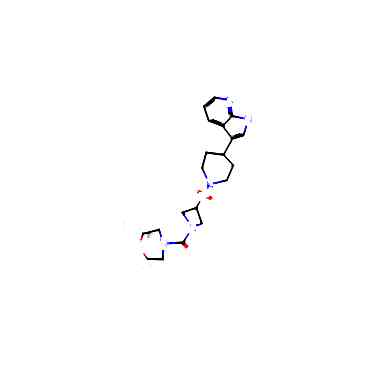 C[C@@H]1CN(C(=O)N2CC(S(=O)(=O)N3CCC(c4c[nH]c5ncccc45)CC3)C2)C[C@H](C)O1